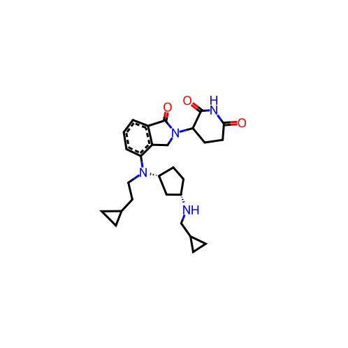 O=C1CCC(N2Cc3c(cccc3N(CCC3CC3)[C@@H]3CC[C@H](NCC4CC4)C3)C2=O)C(=O)N1